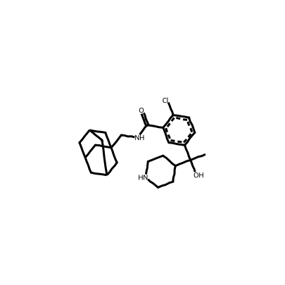 CC(O)(c1ccc(Cl)c(C(=O)NCC23CC4CC(CC(C4)C2)C3)c1)C1CCNCC1